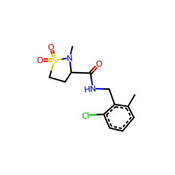 Cc1cccc(Cl)c1CNC(=O)C1CCS(=O)(=O)N1C